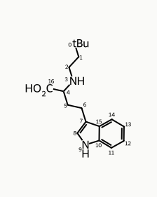 CC(C)(C)CCNC(CCc1c[nH]c2ccccc12)C(=O)O